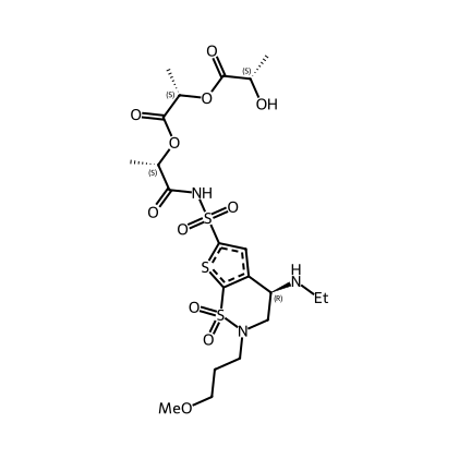 CCN[C@H]1CN(CCCOC)S(=O)(=O)c2sc(S(=O)(=O)NC(=O)[C@H](C)OC(=O)[C@H](C)OC(=O)[C@H](C)O)cc21